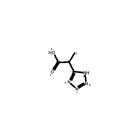 CC(C(=O)O)c1nnn[nH]1